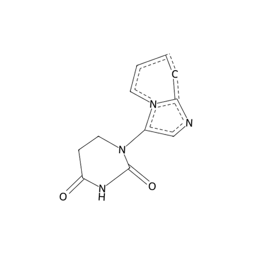 O=C1CCN(c2cnc3ccccn23)C(=O)N1